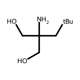 CC(C)(C)CC(N)(CO)CO